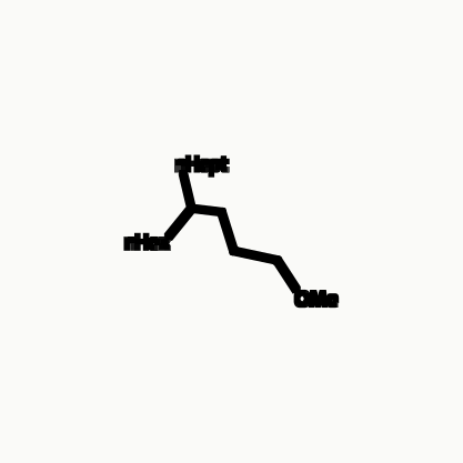 CCCCCCCC(CCCCCC)CCCOC